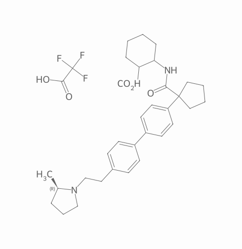 C[C@@H]1CCCN1CCc1ccc(-c2ccc(C3(C(=O)NC4CCCCC4C(=O)O)CCCC3)cc2)cc1.O=C(O)C(F)(F)F